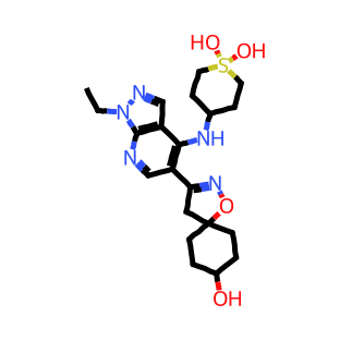 CCn1ncc2c(NC3CCS(O)(O)CC3)c(C3=NOC4(CCC(O)CC4)C3)cnc21